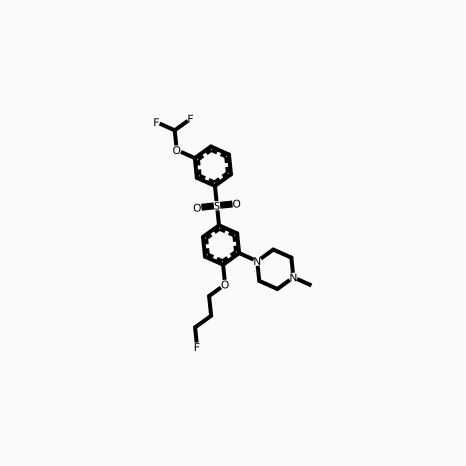 CN1CCN(c2cc(S(=O)(=O)c3cccc(OC(F)F)c3)ccc2OCCCF)CC1